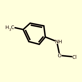 Cc1ccc(NOCl)cc1